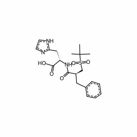 CC(C)(C)S(=O)(=O)C[C@@H](Cc1ccccc1)C(=O)N[C@@H](Cc1ncc[nH]1)C(=O)O